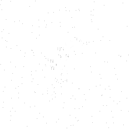 O=C(Cc1ccccc1)Nc1cccc(-c2nc3sccn3c2-c2ccnc(Nc3ccc(N4CCCC4=O)cc3)n2)c1